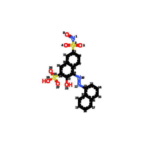 O=NS(=O)(=O)c1ccc2c(/N=N/c3cccc4ccccc34)c(O)c(S(=O)(=O)O)cc2c1